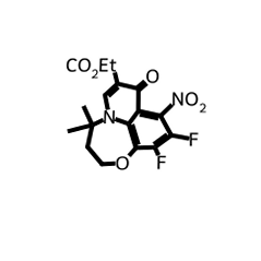 CCOC(=O)c1cn2c3c(c(F)c(F)c([N+](=O)[O-])c3c1=O)OCCC2(C)C